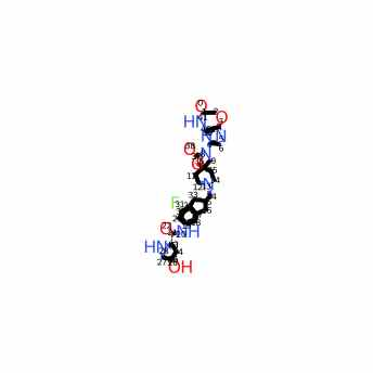 O=C1COc2ncc(N3CC4(CCN(CC5Cc6cc(NC(=O)[C@@H]7C[C@@H](O)CN7)cc(F)c6C5)CC4)OC3=O)nc2N1